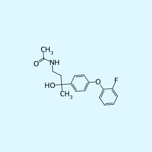 CC(=O)NCCC(C)(O)c1ccc(Oc2ccccc2F)cc1